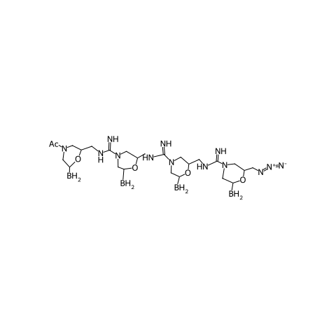 BC1CN(C(=N)NCC2CN(C(=N)NCC3CN(C(=N)NCC4CN(C(C)=O)CC(B)O4)CC(B)O3)CC(B)O2)CC(CN=[N+]=[N-])O1